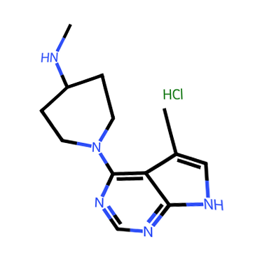 CNC1CCN(c2ncnc3[nH]cc(C)c23)CC1.Cl